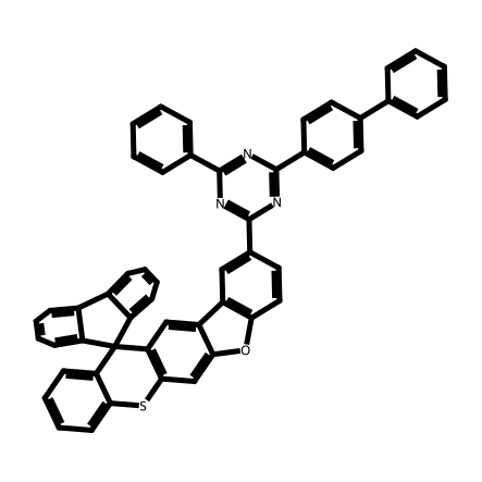 c1ccc(-c2ccc(-c3nc(-c4ccccc4)nc(-c4ccc5oc6cc7c(cc6c5c4)C4(c5ccccc5S7)c5ccccc5-c5ccccc54)n3)cc2)cc1